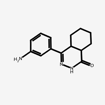 Nc1cccc(C2=NNC(=O)C3CCCCC23)c1